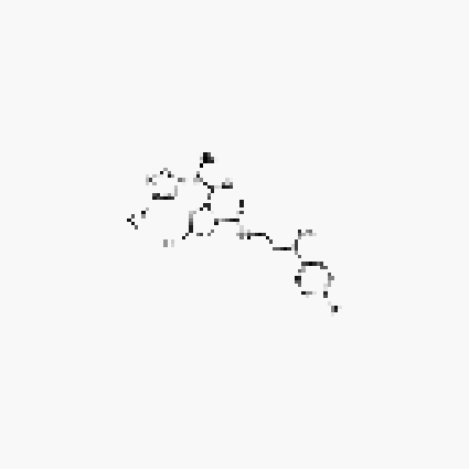 CN(CCNC(=O)C1CC(O)CN1C(=O)[C@@H](n1cc(C2CC2)nn1)C(C)(C)C)c1ccc(Br)cc1